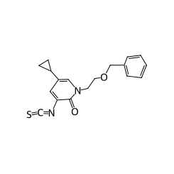 O=c1c(N=C=S)cc(C2CC2)cn1CCOCc1ccccc1